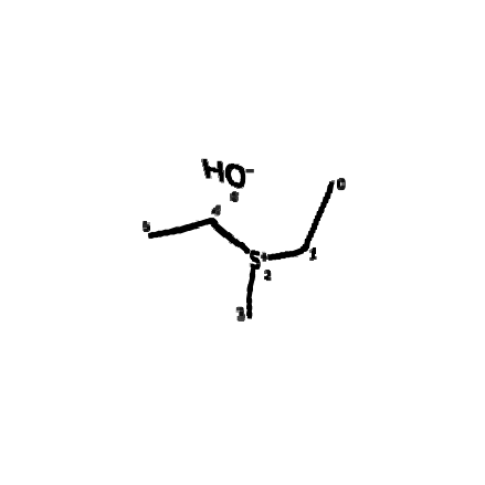 CC[S+](C)CC.[OH-]